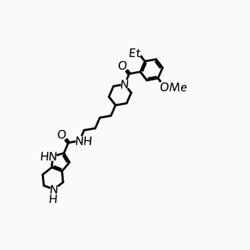 CCc1ccc(OC)cc1C(=O)N1CCC(CCCCNC(=O)c2cc3c([nH]2)CCNC3)CC1